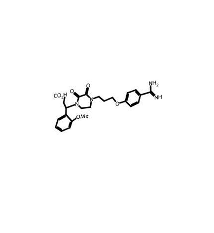 COc1ccccc1C(CC(=O)O)N1CCN(CCCOc2ccc(C(=N)N)cc2)C(=O)C1=O